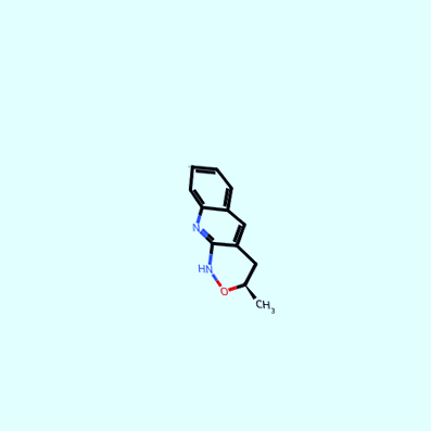 C[C@@H]1Cc2cc3cc[c]cc3nc2NO1